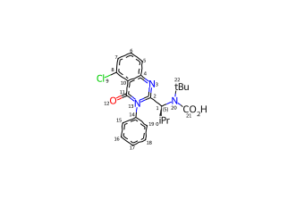 CC(C)[C@@H](c1nc2cccc(Cl)c2c(=O)n1-c1ccccc1)N(C(=O)O)C(C)(C)C